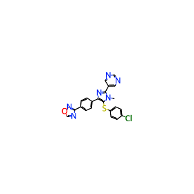 Cn1c(-c2cncnc2)nc(-c2ccc(-c3ncon3)cc2)c1Sc1ccc(Cl)cc1